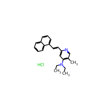 CCN(CC)c1cc(C=Cc2cccc3ccccc23)ncc1C.Cl